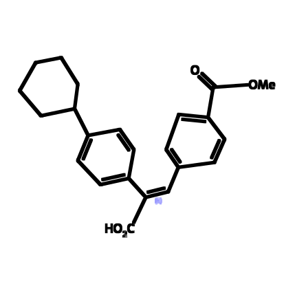 COC(=O)c1ccc(/C=C(/C(=O)O)c2ccc(C3CCCCC3)cc2)cc1